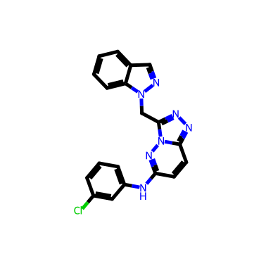 Clc1cccc(Nc2ccc3nnc(Cn4ncc5ccccc54)n3n2)c1